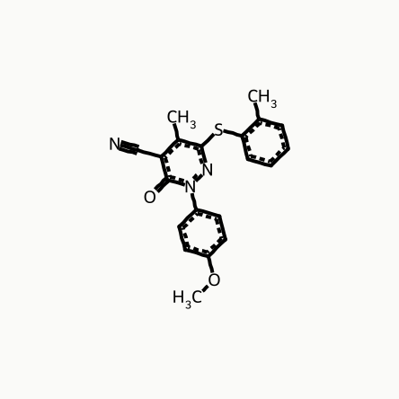 COc1ccc(-n2nc(Sc3ccccc3C)c(C)c(C#N)c2=O)cc1